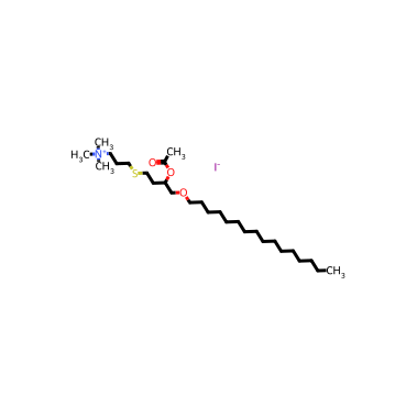 CCCCCCCCCCCCCCCCOCC(CCSCCC[N+](C)(C)C)OC(C)=O.[I-]